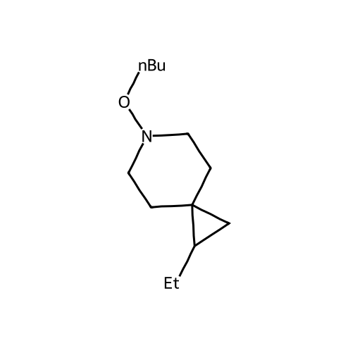 CCCCON1CCC2(CC1)CC2CC